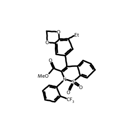 CCc1cc(C2=C(C(=O)OC)N(c3ccccc3C(F)(F)F)S(=O)(=O)c3ccccc32)cc2c1OCO2